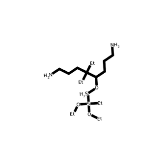 CCO[Si](CC)(OCC)[SiH2]OC(CCCN)C(CC)(CC)CCCN